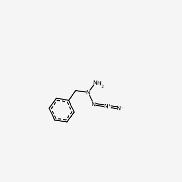 [N-]=[N+]=NN(N)Cc1ccccc1